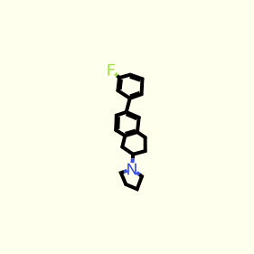 Fc1cccc(-c2ccc3c(c2)CCC(N2CCCC2)C3)c1